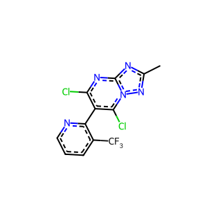 Cc1nc2nc(Cl)c(-c3ncccc3C(F)(F)F)c(Cl)n2n1